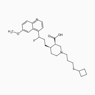 COc1ccc2nccc(C(F)CC[C@@H]3CCN(CCCSC4CCC4)C[C@@H]3C(=O)O)c2c1